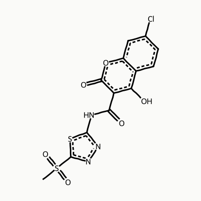 CS(=O)(=O)c1nnc(NC(=O)c2c(O)c3ccc(Cl)cc3oc2=O)s1